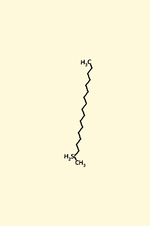 CCCCCCCCCCCCCCCC[SiH2]C